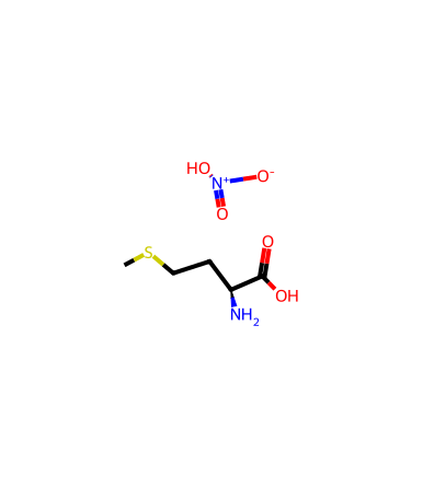 CSCC[C@H](N)C(=O)O.O=[N+]([O-])O